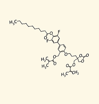 C=C(C)C(=O)OCc1cc(-c2cc(F)c(OC(=O)CCCCCCCCCC)c(F)c2)ccc1OCCCC1(COC(=O)C(=C)C)COC(=O)O1